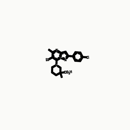 CCc1c(C)nc2cc(-c3ccc(Cl)cc3)nn2c1N1CCCC(C)(C(=O)O)C1